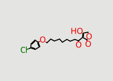 O=C(CCCCCCCCOc1ccc(Cl)cc1)C1=C(O)COC1=O